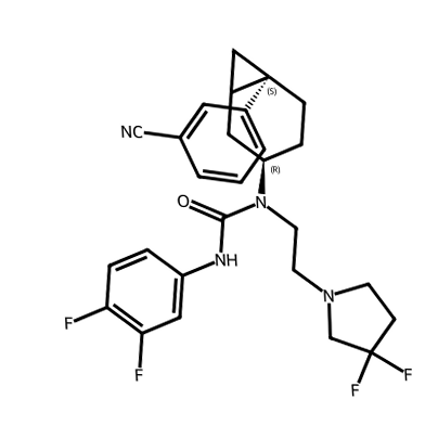 N#Cc1cccc([C@]23CC[C@@H](N(CCN4CCC(F)(F)C4)C(=O)Nc4ccc(F)c(F)c4)CC2C3)c1